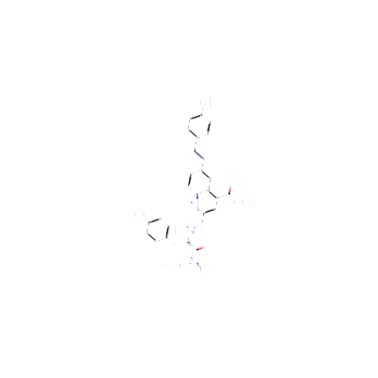 CN(C)C(=O)[C@H](Cc1ccc(O)cc1)NCc1cc(C(=O)O)c2cc(/C=C/c3ccc(Cl)cc3)ccc2n1